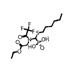 CCCCCCSC(N(CC(=O)OCC)C(=O)C(F)(F)F)P(=O)(O)O